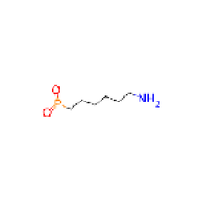 NCCCCCCP(=O)=O